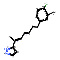 CC(=O)c1cc(CC/C=C/C=C(\C)c2ccn[nH]2)ccc1Cl